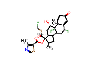 Cc1ncsc1C(=O)O[C@]1(C(=O)SCF)[C@H](C)CC2C3C[C@H](F)C4=CC(=O)C=C[C@]4(C)[C@@]3(F)[C@@H](O)C[C@@]21C